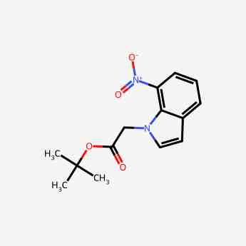 CC(C)(C)OC(=O)Cn1ccc2cccc([N+](=O)[O-])c21